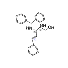 OC[C@@H](O)[C@H](/C=C/c1ccccc1)NC(c1ccccc1)c1ccccc1